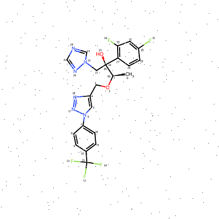 C[C@@H](OCc1cn(-c2ccc(C(F)(F)F)cc2)nn1)[C@](O)(Cn1cncn1)c1ccc(F)cc1F